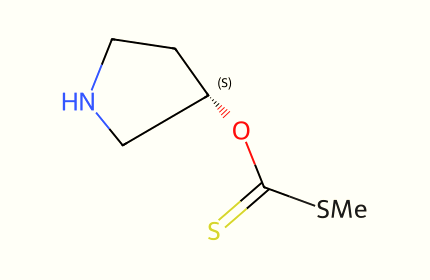 CSC(=S)O[C@H]1CCNC1